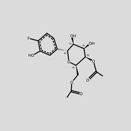 CC(=O)OC[C@H]1O[C@H](c2ccc(F)c(O)c2)[C@@H](O)[C@@H](O)[C@H]1OC(C)=O